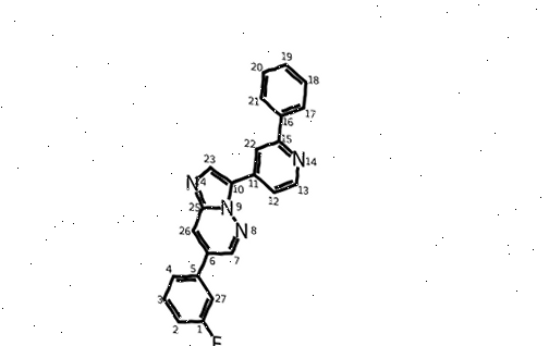 Fc1cccc(-c2cnn3c(-c4ccnc(-c5ccccc5)c4)cnc3c2)c1